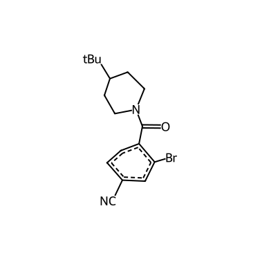 CC(C)(C)C1CCN(C(=O)c2ccc(C#N)cc2Br)CC1